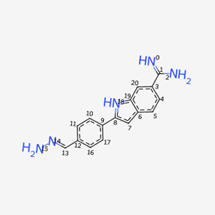 N=C(N)c1ccc2cc(-c3ccc(C=NN)cc3)[nH]c2c1